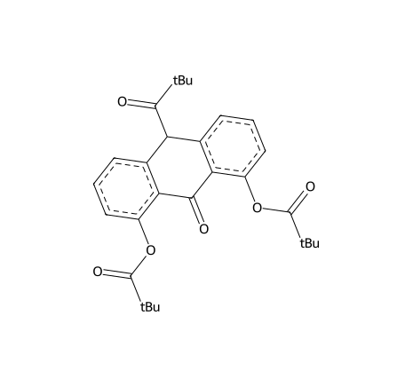 CC(C)(C)C(=O)Oc1cccc2c1C(=O)c1c(OC(=O)C(C)(C)C)cccc1C2C(=O)C(C)(C)C